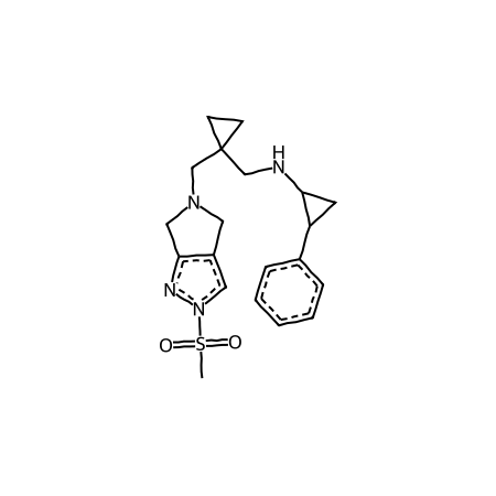 CS(=O)(=O)n1cc2c(n1)CN(CC1(CNC3CC3c3ccccc3)CC1)C2